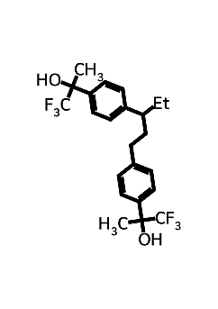 CCC(CCc1ccc(C(C)(O)C(F)(F)F)cc1)c1ccc(C(C)(O)C(F)(F)F)cc1